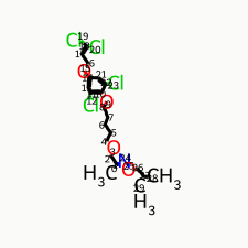 CC(COCCCCCOc1c(Cl)cc(OCC=C(Cl)Cl)cc1Cl)=NOCC(C)C